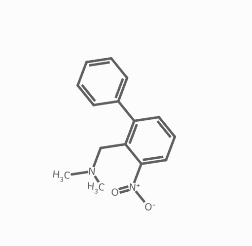 CN(C)Cc1c(-c2ccccc2)cccc1[N+](=O)[O-]